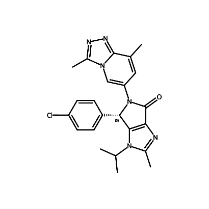 Cc1cc(N2C(=O)c3nc(C)n(C(C)C)c3[C@@H]2c2ccc(Cl)cc2)cn2c(C)nnc12